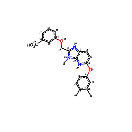 Cc1ccc(Oc2ccc3nc(COc4cccc(C(=O)O)c4)n(C)c3n2)cc1C